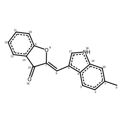 Cc1ccc2c(C=C3Oc4ccccc4C3=O)c[nH]c2c1